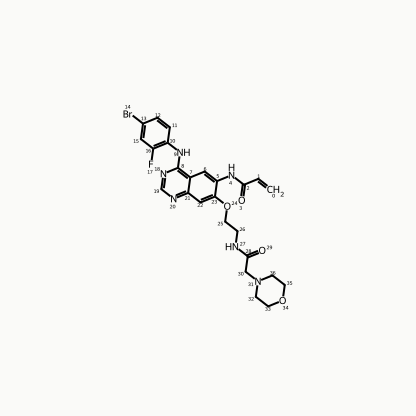 C=CC(=O)Nc1cc2c(Nc3ccc(Br)cc3F)ncnc2cc1OCCNC(=O)CN1CCOCC1